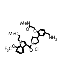 CNC(=O)COc1ccc(CN)cc1C1CCN(C(=O)c2cn(CCOC)c3c(OC(F)(F)F)cccc23)CC1.Cl